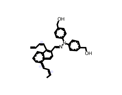 C=C/C=C\C1=C(C=NN(c2ccc(CO)cc2)c2ccc(CO)cc2)C=C=c2c1ccc/c2=C/C=C\C